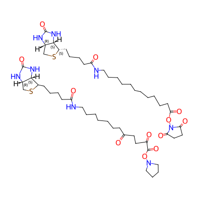 O=C(CCCCCCCNC(=O)CCCCC1SC[C@@H]2NC(=O)N[C@H]12)CCC(=O)C(=O)ON1CCCC1.O=C(CCCC[C@@H]1SC[C@@H]2NC(=O)N[C@@H]21)NCCCCCCCCCCCC(=O)ON1C(=O)CCC1=O